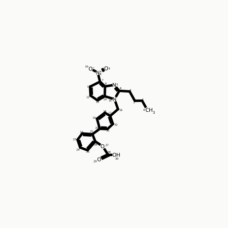 CCCCc1nc2c([N+](=O)[O-])cccc2n1Cc1ccc(-c2ccccc2OC(=O)O)cc1